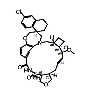 CO[C@H]1/C=C/C[C@H]2COC[C@@H]2S(=O)(=O)NC(=O)c2ccc3c(c2)N(C[C@@H]2CC[C@H]21)C[C@@]1(CCCc2cc(Cl)ccc21)CO3